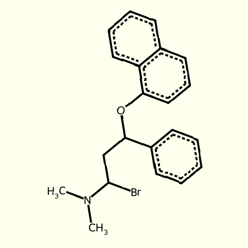 CN(C)C(Br)CC(Oc1cccc2ccccc12)c1ccccc1